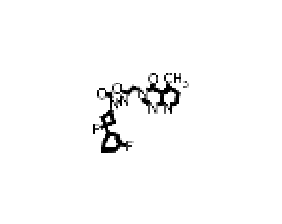 Cc1ccnc2ncn(Cc3nn(C4CC(F)(c5cccc(F)c5)C4)c(=O)o3)c(=O)c12